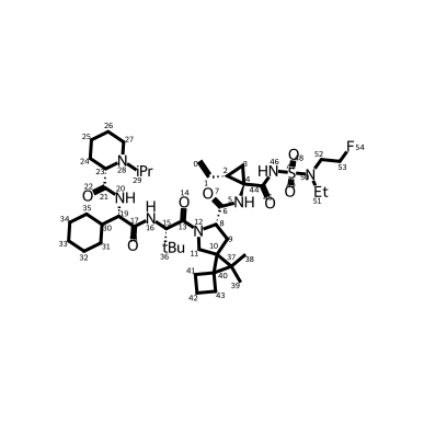 C=C[C@@H]1C[C@]1(NC(=O)[C@@H]1CC2(CN1C(=O)[C@@H](NC(=O)[C@@H](NC(=O)[C@@H]1CCCCN1C(C)C)C1CCCCC1)C(C)(C)C)C(C)(C)C21CCC1)C(=O)NS(=O)(=O)N(CC)CCF